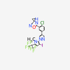 Cn1c(C(F)(C(F)(F)F)C(F)(F)F)cc(I)c1-n1cc(-c2ccc(Cl)c(C(=O)NC3(C#N)CC3)c2)cn1